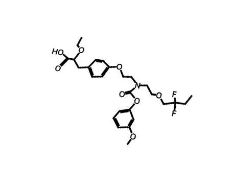 CCOC(Cc1ccc(OCCN(CCOCC(F)(F)CC)C(=O)Oc2cccc(OC)c2)cc1)C(=O)O